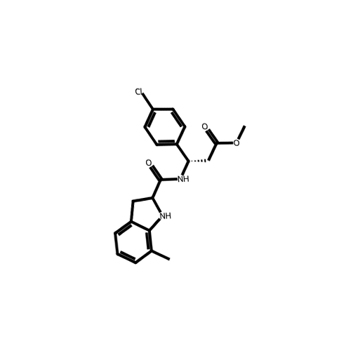 COC(=O)C[C@H](NC(=O)C1Cc2cccc(C)c2N1)c1ccc(Cl)cc1